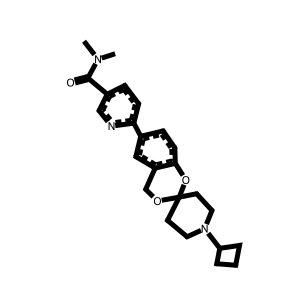 CN(C)C(=O)c1ccc(-c2ccc3c(c2)COC2(CCN(C4CCC4)CC2)O3)nc1